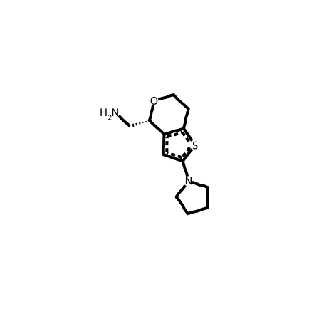 NC[C@@H]1OCCc2sc(N3CCCC3)cc21